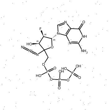 [N-]=[N+]=NC1(COP(=O)(O)OP(=O)(O)OP(=O)(O)O)O[C@@H](n2cnc3c(=O)[nH]c(N)nc32)[C@H](F)[C@@H]1O